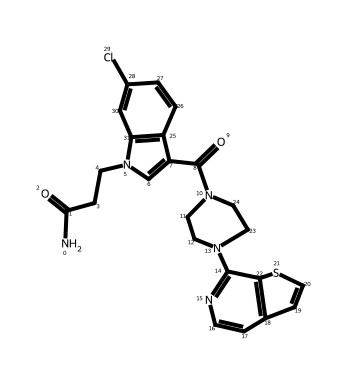 NC(=O)CCn1cc(C(=O)N2CCN(c3nccc4ccsc34)CC2)c2ccc(Cl)cc21